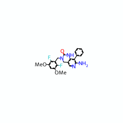 COc1cc(OC)c(F)c(CN2Cc3cnc(N)c(-c4ccccc4)c3NC2=O)c1F